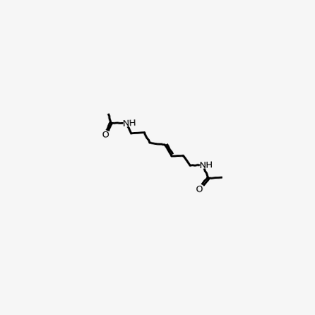 CC(=O)NCC/C=C/CCCNC(C)=O